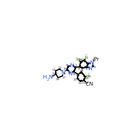 CC(C)n1cnc2cc(-c3ncc(N4CCC(N)CC4)nc3-c3ccc(C#N)c(F)c3)c(F)c(F)c21